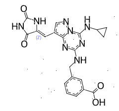 O=C1NC(=O)/C(=C/c2cnn3c(NC4CC4)nc(NCc4cccc(C(=O)O)c4)nc23)N1